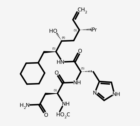 C=C[C@@H](C[C@@H](O)[C@H](CC1CCCCC1)NC(=O)[C@H](Cc1c[nH]cn1)NC(=O)[C@H](CC(N)=O)NC(=O)O)C(C)C